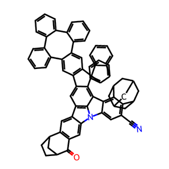 N#Cc1cc2c(c3c1C1CC4CC(C1)CC3C4)c1c3c(cc4c5cc6c(cc5n2c41)C(=O)C1CCC6C1)-c1cc2c(cc1C31c3ccccc3-c3ccccc31)-c1ccccc1-c1ccccc1-c1ccccc1-2